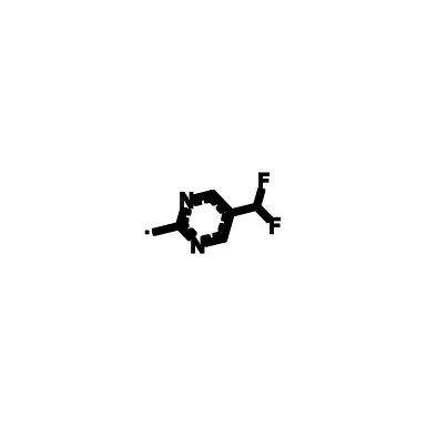 [CH2]c1ncc(C(F)F)cn1